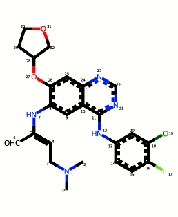 CN(C)CC=C(C=O)Nc1cc2c(Nc3ccc(F)c(Cl)c3)ncnc2cc1OC1CCOC1